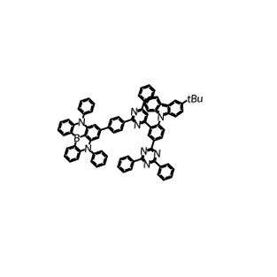 CC(C)(C)c1ccc2c(c1)c1ccccc1n2-c1ccc(-c2nc(-c3ccccc3)nc(-c3ccccc3)n2)cc1-c1cc(-c2ccccc2)nc(-c2ccc(-c3cc4c5c(c3)N(c3ccccc3)c3ccccc3B5c3ccccc3N4c3ccccc3)cc2)n1